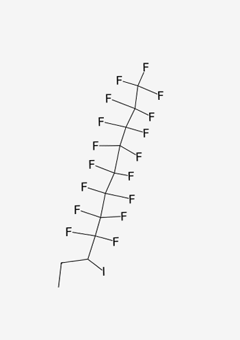 CCC(I)C(F)(F)C(F)(F)C(F)(F)C(F)(F)C(F)(F)C(F)(F)C(F)(F)C(F)(F)F